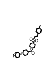 Cc1ccc(/C=C/S(=O)(=O)N2CCN(C(=O)C3CCN(c4ccncc4)CC3)CC2)cc1